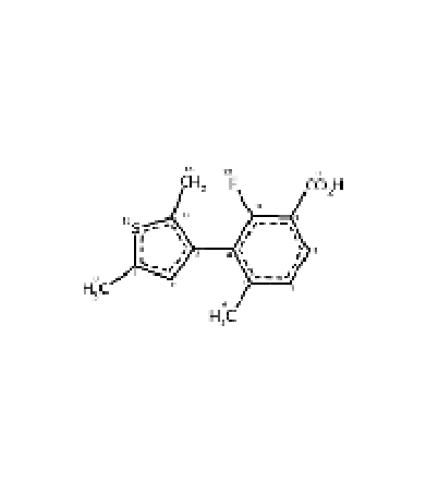 Cc1cc(-c2c(C)ccc(C(=O)O)c2F)c(C)s1